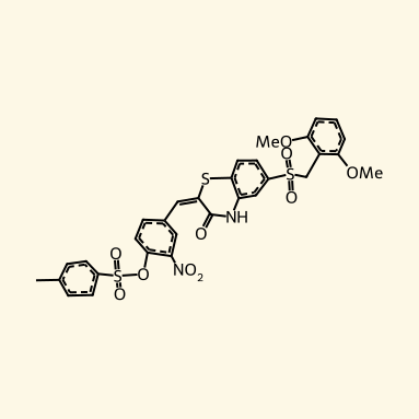 COc1cccc(OC)c1CS(=O)(=O)c1ccc2c(c1)NC(=O)/C(=C\c1ccc(OS(=O)(=O)c3ccc(C)cc3)c([N+](=O)[O-])c1)S2